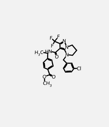 COC(=O)c1ccc(C(C)NC(=O)c2c(C(F)(F)F)nn3c2N(Cc2cccc(Cl)c2)CCC3)cc1